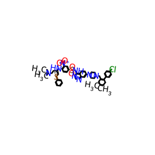 CCN(C)CC[C@H](CSc1ccccc1)Nc1ccc(S(=O)(=O)Nc2ncnc3cc(N4CCN(CC5=C(c6ccc(Cl)cc6)CCC(C)(C)C5)CC4)ccc23)cc1[N+](=O)[O-]